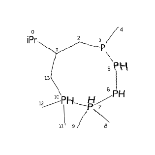 CC(C)C1CP(C)PP[PH](C)(C)[PH](C)(C)C1